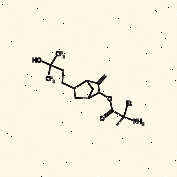 C=C1C2CC(CC2CCC(O)(C(F)(F)F)C(F)(F)F)C1OC(=O)C(C)(N)CC